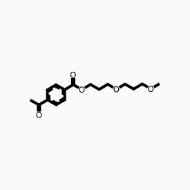 COCCCOCCCOC(=O)c1ccc(C(C)=O)cc1